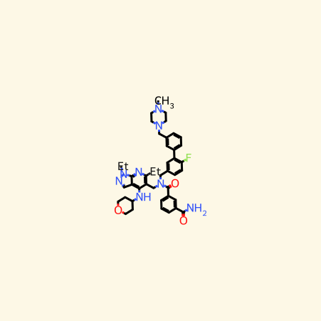 CCc1nc2c(cnn2CC)c(NC2CCOCC2)c1CN(Cc1ccc(F)c(-c2cccc(CN3CCN(C)CC3)c2)c1)C(=O)c1cccc(C(N)=O)c1